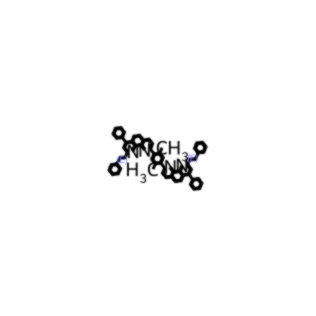 Cc1cc(-c2ccc3ccc4c(-c5ccccc5)cc(/C=C/c5ccccc5)nc4c3n2)c(C)cc1-c1ccc2ccc3c(-c4ccccc4)cc(/C=C/c4ccccc4)nc3c2n1